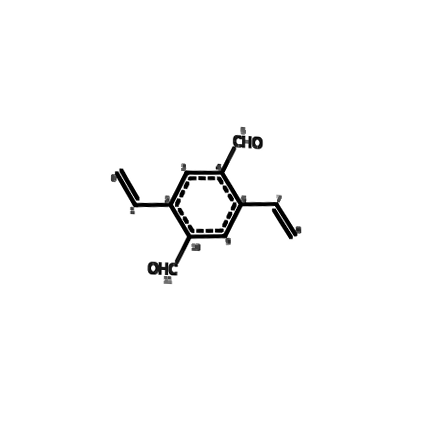 C=Cc1cc(C=O)c(C=C)cc1C=O